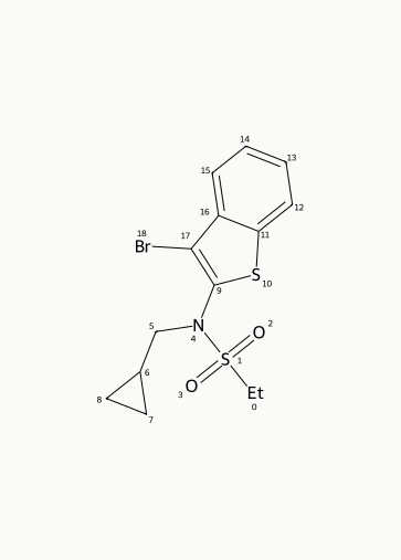 CCS(=O)(=O)N(CC1CC1)c1sc2ccccc2c1Br